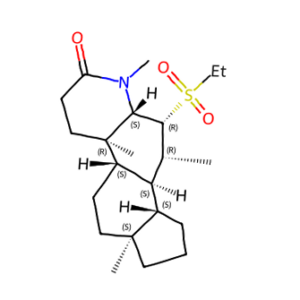 CCS(=O)(=O)[C@@H]1[C@H](C)[C@H]2[C@@H]3CCC[C@@]3(C)CC[C@@H]2[C@@]2(C)CCC(=O)N(C)[C@H]12